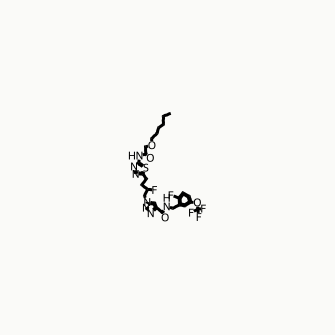 CCCCCCOCC(=O)Nc1nnc(CCC(F)Cn2cc(C(=O)NCc3cc(OC(F)(F)F)ccc3F)nn2)s1